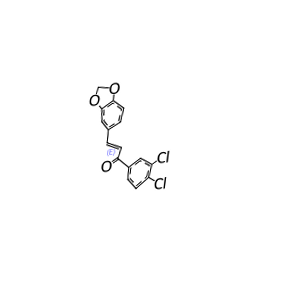 O=C(/C=C/c1ccc2c(c1)OCO2)c1ccc(Cl)c(Cl)c1